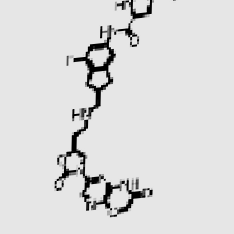 CO[C@H]1CN[C@H](C(=O)Nc2cc(F)c3c(c2)CC(CNCCC2CN(c4cnc5c(n4)NC(=O)CO5)C(=O)O2)C3)C1